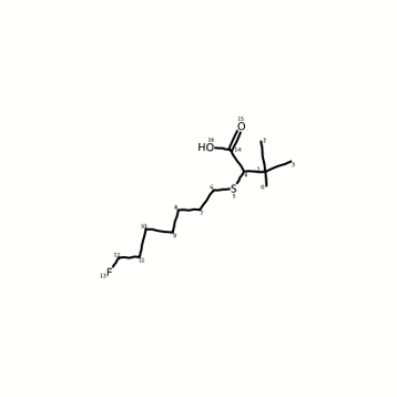 CC(C)(C)C(SCCCCCCCF)C(=O)O